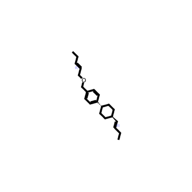 CC/C=C/COCc1ccc([C@H]2CC[C@H](/C=C/CC)CC2)cc1